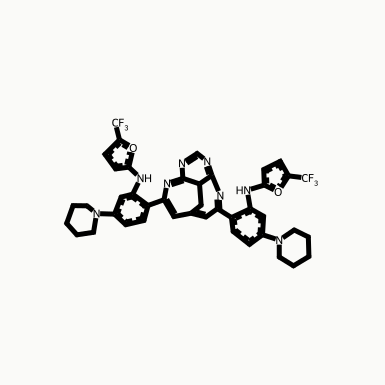 FC(F)(F)c1ccc(Nc2cc(N3CCCCC3)ccc2C2=CC3=CC(c4ccc(N5CCCCC5)cc4Nc4ccc(C(F)(F)F)o4)=NC4=NC=NC(=N2)C4C3)o1